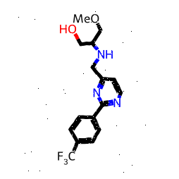 COCC(CO)NCc1ccnc(-c2ccc(C(F)(F)F)cc2)n1